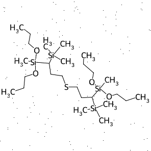 CCCO[Si](C)(OCCC)C(CCSCCC([Si](C)(C)C)[Si](C)(OCCC)OCCC)[Si](C)(C)C